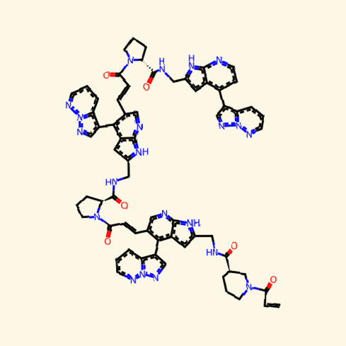 C=CC(=O)N1CCC[C@@H](C(=O)NCc2cc3c(-c4cnn5ncccc45)c(/C=C/C(=O)N4CCC[C@H]4C(=O)NCc4cc5c(-c6cnn7ncccc67)c(/C=C/C(=O)N6CCC[C@@H]6C(=O)NCc6cc7c(-c8cnn9ncccc89)ccnc7[nH]6)cnc5[nH]4)cnc3[nH]2)C1